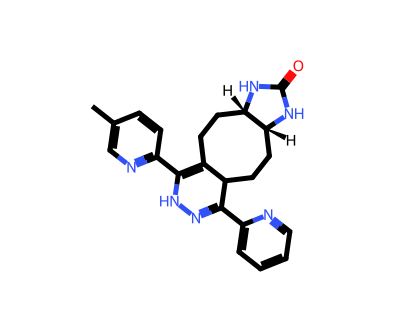 Cc1ccc(C2=C3CC[C@@H]4NC(=O)N[C@@H]4CCC3C(c3ccccn3)=NN2)nc1